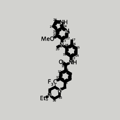 CCN1CCN(Cc2ccc(C(=O)Nc3ccc(C)c(N(C)c4cnc5[nH]ccc5c4OC)c3)cc2C(F)(F)F)CC1